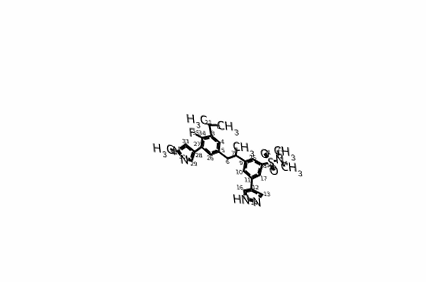 CC(C)c1cc(CC(C)c2cc(-c3cn[nH]c3)cc(S(=O)(=O)N(C)C)c2)cc(-c2cnn(C)c2)c1F